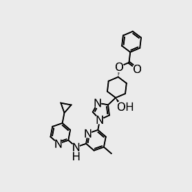 Cc1cc(Nc2cc(C3CC3)ccn2)nc(-n2cnc([C@]3(O)CC[C@H](OC(=O)c4ccccc4)CC3)c2)c1